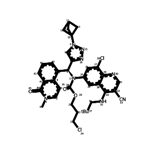 Cn1ccc2c([C@@H](c3cn(C45CC(C4)C5)nn3)N(C(=O)OCCCCl)c3cc(Cl)c4ncc(C#N)c(NCC(C)(C)C)c4c3)cccc2c1=O